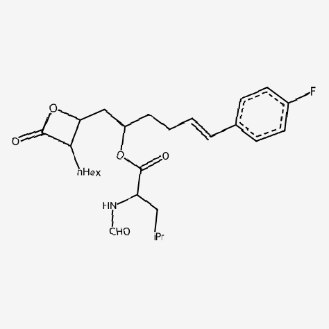 CCCCCCC1C(=O)OC1CC(CCC=Cc1ccc(F)cc1)OC(=O)C(CC(C)C)NC=O